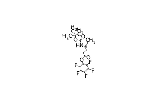 CC[C@@H](CCC(=O)Oc1c(F)c(F)c(F)c(F)c1F)NC(=O)OC(C)(C)C